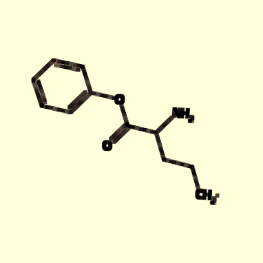 [CH2]CCC(N)C(=O)Oc1ccccc1